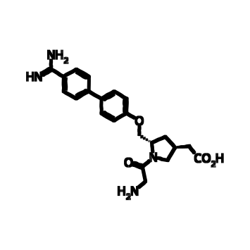 N=C(N)c1ccc(-c2ccc(OC[C@@H]3C[C@@H](CC(=O)O)CN3C(=O)CN)cc2)cc1